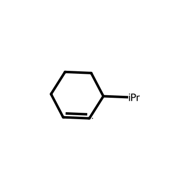 CC(C)C1[C]=CCCC1